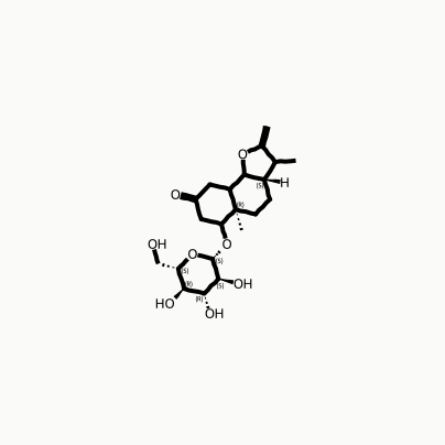 C=C1OC2C3CC(=O)CC(O[C@H]4O[C@@H](CO)[C@H](O)[C@@H](O)[C@@H]4O)[C@]3(C)CC[C@H]2C1C